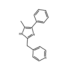 Cc1[nH]c(Cc2ccncc2)nc1-c1ccccc1